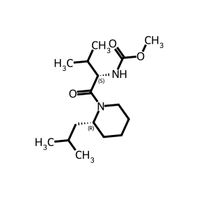 COC(=O)N[C@H](C(=O)N1CCCC[C@@H]1CC(C)C)C(C)C